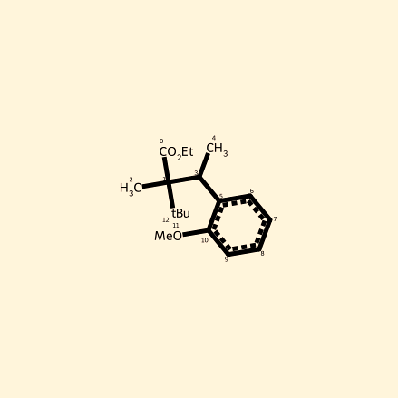 CCOC(=O)C(C)(C(C)c1ccccc1OC)C(C)(C)C